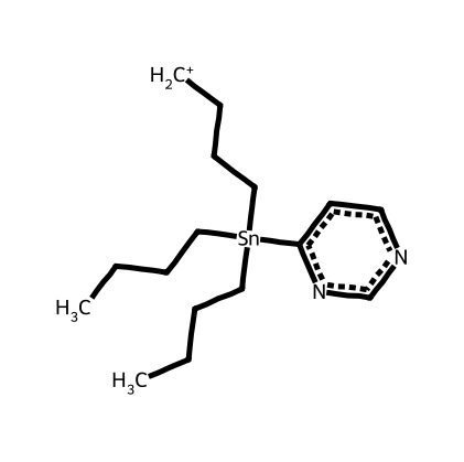 [CH2+]CC[CH2][Sn]([CH2]CCC)([CH2]CCC)[c]1ccncn1